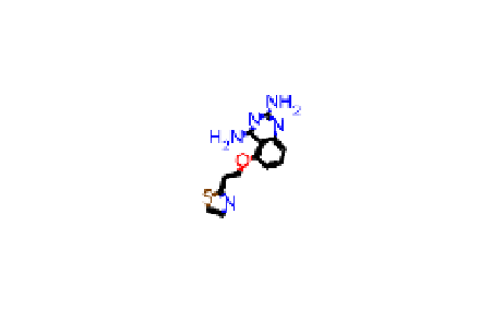 Nc1nc(N)c2c(OCCc3nccs3)cccc2n1